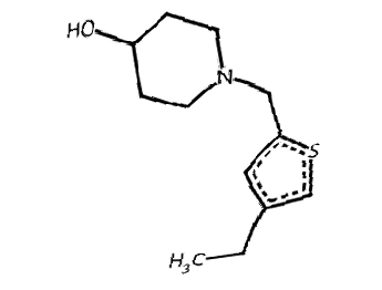 CCc1csc(CN2CCC(O)CC2)c1